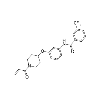 C=CC(=O)N1CCC(Oc2cccc(NC(=O)c3cccc(C(F)(F)F)c3)c2)CC1